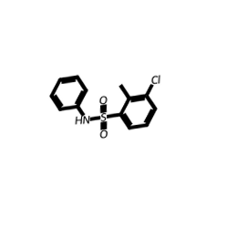 Cc1c(Cl)cccc1S(=O)(=O)Nc1ccccc1